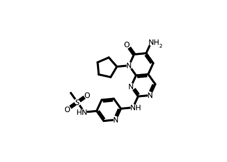 CS(=O)(=O)Nc1ccc(Nc2ncc3cc(N)c(=O)n(C4CCCC4)c3n2)nc1